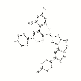 CC[C@@H]1C[C@H](N(Cc2cc(C(F)(F)F)cc(C(F)(F)F)c2)c2ncc(N3CCOCC3)cn2)CN1c1nc(N2CCC(C(C)=O)CC2)ncc1Cl